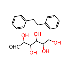 O=CC(O)C(O)C(O)C(O)CO.c1ccc(CCc2ccccc2)cc1